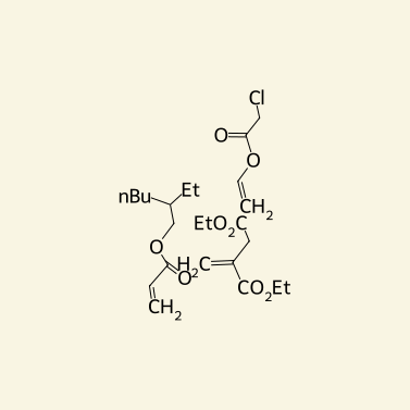 C=C(CC(=O)OCC)C(=O)OCC.C=CC(=O)OCC(CC)CCCC.C=COC(=O)CCl